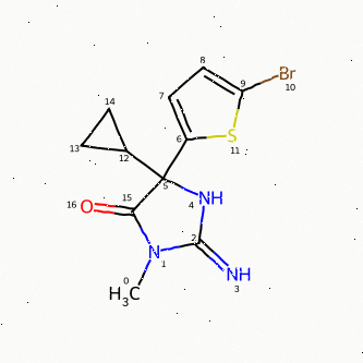 CN1C(=N)NC(c2ccc(Br)s2)(C2CC2)C1=O